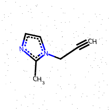 C#CCn1ccnc1C